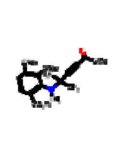 CCOC(=O)c1ccc(OC)c(OC)c1N(C)C(C)(C)C#CC(=O)SC